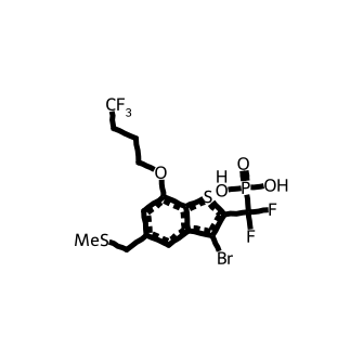 CSCc1cc(OCCCC(F)(F)F)c2sc(C(F)(F)P(=O)(O)O)c(Br)c2c1